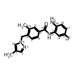 Cc1cnn(Cc2ccc(C(=O)Nc3cc(F)ccc3N)cc2C)c1